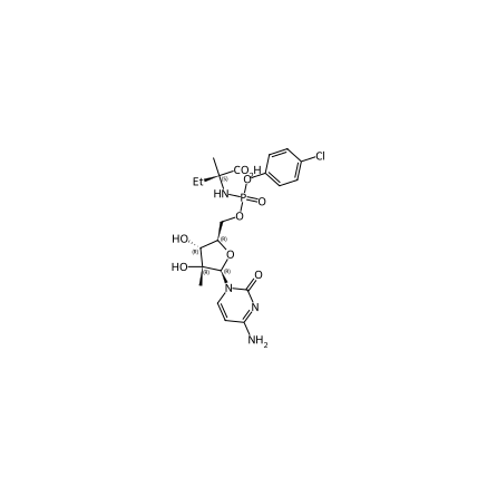 CC[C@](C)(NP(=O)(OC[C@H]1O[C@@H](n2ccc(N)nc2=O)[C@](C)(O)[C@@H]1O)Oc1ccc(Cl)cc1)C(=O)O